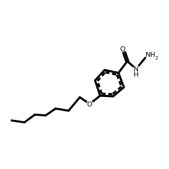 CCCCCCCOc1ccc(C(=O)NN)cc1